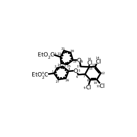 CCOC(=O)c1ccc(OCC2C(Cl)=C(Cl)C=C(Cl)C2(Cl)COc2ccc(C(=O)OCC)cc2)cc1